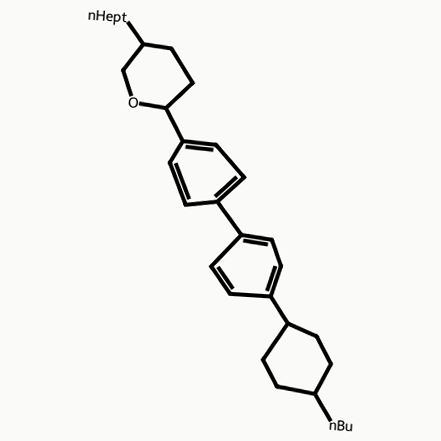 CCCCCCCC1CCC(c2ccc(-c3ccc(C4CCC(CCCC)CC4)cc3)cc2)OC1